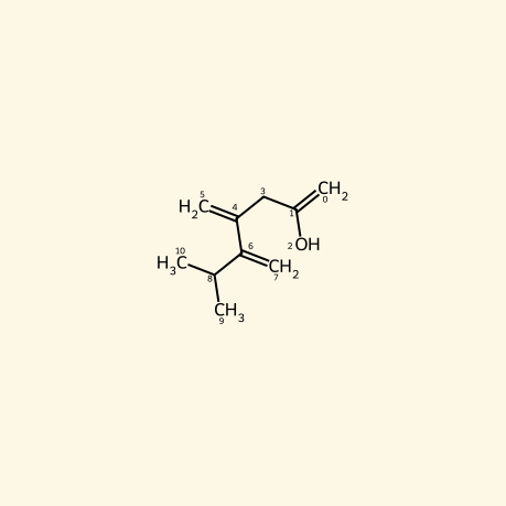 C=C(O)CC(=C)C(=C)C(C)C